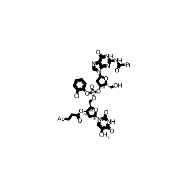 CC(=O)CCC(=O)O[C@H]1C[C@@H](n2cc(C)c(=O)[nH]c2=O)O[C@@H]1COP(=O)(Oc1ccccc1Cl)O[C@H]1CC(n2cnc3c(=O)[nH]c(NC(=O)C(C)C)nc32)O[C@@H]1CO